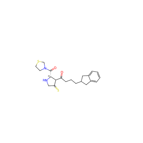 O=C(CCCC1Cc2ccccc2C1)C1C(=S)CN[C@@H]1C(=O)N1CCSC1